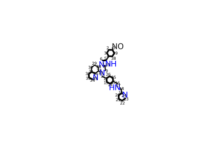 O=Nc1ccc(-c2cnc(CN(Cc3ccc(CNCc4ccccn4)cc3)C3CCCc4cccnc43)[nH]2)cc1